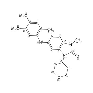 COc1cc(C)c(Nc2cc3c(cn2)n(C)c(=O)n3C2CCOCC2)cc1OC